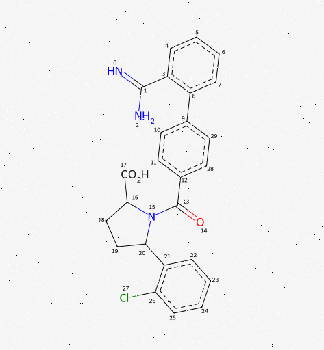 N=C(N)c1ccccc1-c1ccc(C(=O)N2C(C(=O)O)CCC2c2ccccc2Cl)cc1